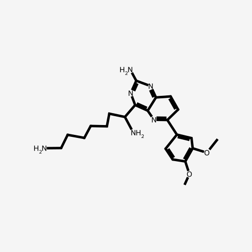 COc1ccc(-c2ccc3nc(N)nc(C(N)CCCCCCN)c3n2)cc1OC